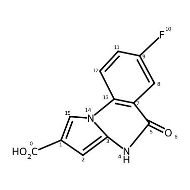 O=C(O)c1cc2[nH]c(=O)c3cc(F)ccc3n2c1